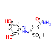 NC(=O)CC[C@@H](NNc1cc(O)cc(O)c1)C(=O)O